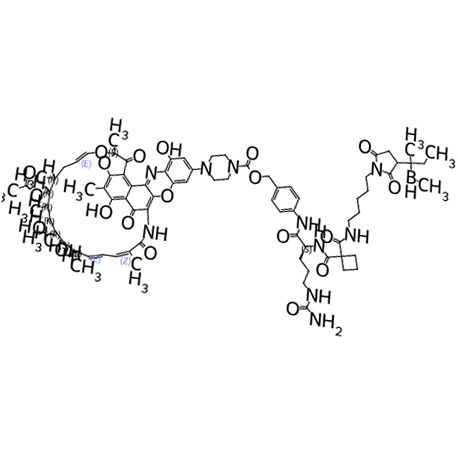 CBC(C)(CC)C1CC(=O)N(CCCCCNC(=O)C2(C(=O)N[C@@H](CCCNC(N)=O)C(=O)Nc3ccc(COC(=O)N4CCN(c5cc(O)c6nc7c8c9c%10c(C)c(O)c8c(=O)c(c-7oc6c5)NC(=O)/C(C)=C\C=C\[C@H](C)[C@H](O)[C@@H](C)[C@@H](O)[C@@H](C)[C@H](OC(C)=O)[C@H](C)C/C=C/O[C@@](C)(O%10)C9=O)CC4)cc3)CCC2)C1=O